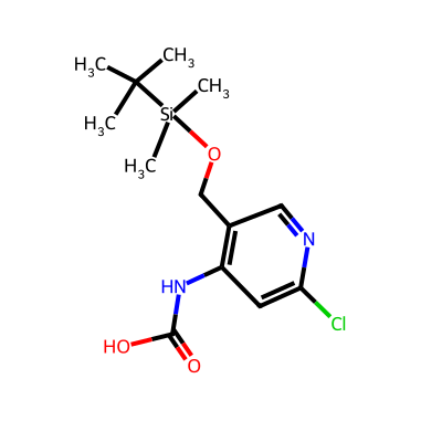 CC(C)(C)[Si](C)(C)OCc1cnc(Cl)cc1NC(=O)O